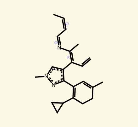 C=C/C(=C(C)/N=C\C=C/C)c1cn(C)nc1C1=C(C2CC2)CCC(C)=C1